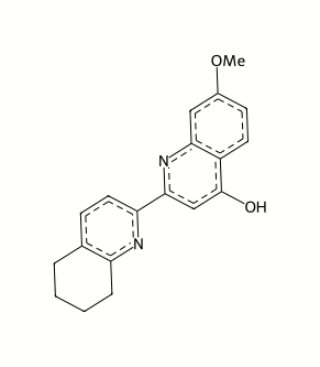 COc1ccc2c(O)cc(-c3ccc4c(n3)CCCC4)nc2c1